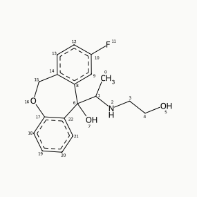 CC(NCCO)C1(O)c2cc(F)ccc2COc2ccccc21